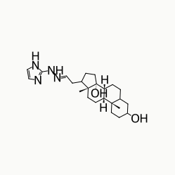 C[C@]12CCC(O)CC1CC[C@@H]1[C@H]2CC[C@]2(C)C(C/C=N/Nc3ncc[nH]3)CC[C@@]12O